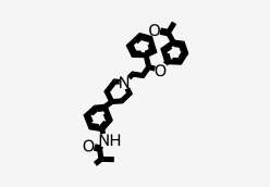 CC(=O)c1cccc(OC(CCN2CCC(c3cccc(NC(=O)C(C)C)c3)CC2)c2ccccc2)c1